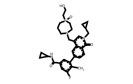 Cc1c(F)cc(C(=O)NC2CC2)cc1-c1ccc2c(=O)n(CC3CC3)cc(CN3CCC[N+]([O-])(CCO)CC3)c2c1